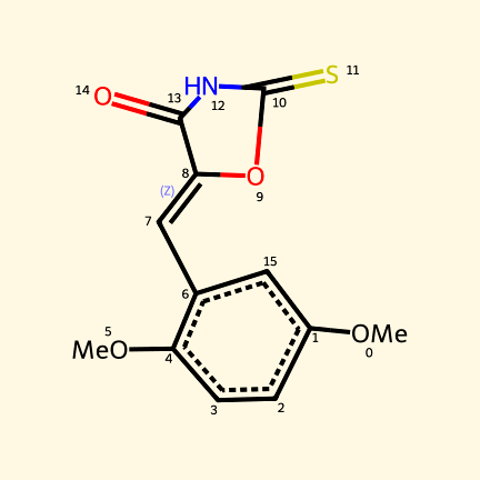 COc1ccc(OC)c(/C=C2\OC(=S)NC2=O)c1